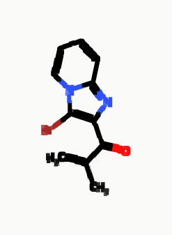 C=C(C)C(=O)c1nc2ccccn2c1Br